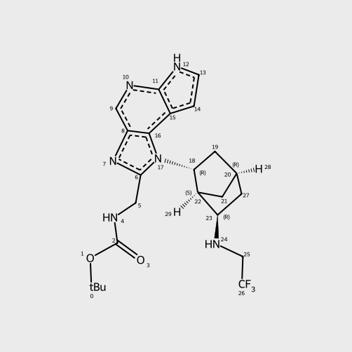 CC(C)(C)OC(=O)NCc1nc2cnc3[nH]ccc3c2n1[C@@H]1C[C@@H]2C[C@H]1[C@H](NCC(F)(F)F)C2